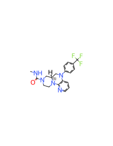 CNC(=O)N1CCN2c3ncccc3N(c3ccc(C(F)(F)F)cc3)C[C@H]2C1